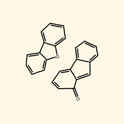 O=C1C=CC=C2C1=Cc1ccccc12.c1ccc2c(c1)oc1ccccc12